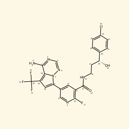 Nc1ncnn2c(-c3cnc(F)c(C(=O)NCC[C@@H](O)c4ccc(Cl)cc4)c3)cc(C(F)(F)F)c12